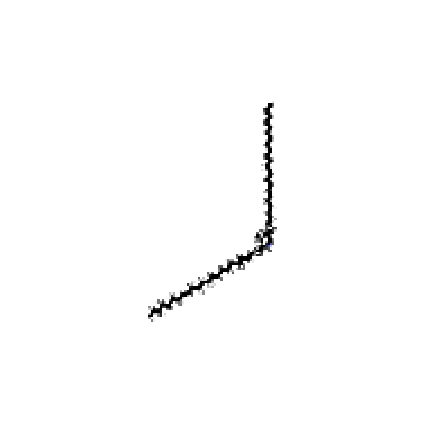 CCCCCCCCCCCCCCCCCCCCCCOC(=O)/C=C\C(=O)OCCCCCCCCCCCCCCCCCCCCCC